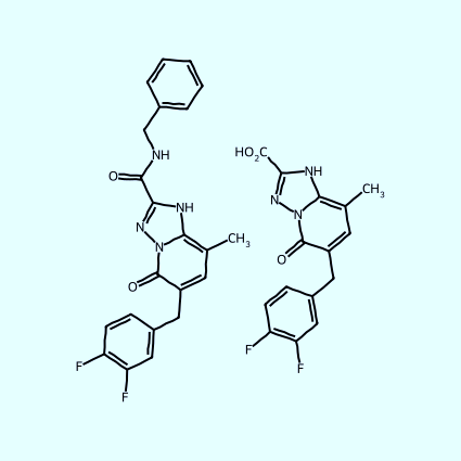 Cc1cc(Cc2ccc(F)c(F)c2)c(=O)n2nc(C(=O)NCc3ccccc3)[nH]c12.Cc1cc(Cc2ccc(F)c(F)c2)c(=O)n2nc(C(=O)O)[nH]c12